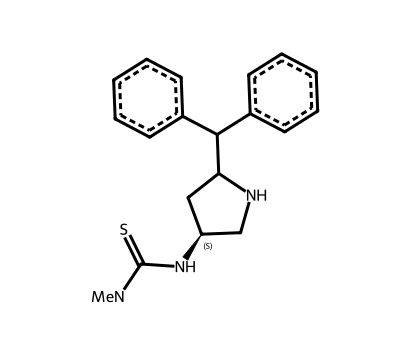 CNC(=S)N[C@@H]1CNC(C(c2ccccc2)c2ccccc2)C1